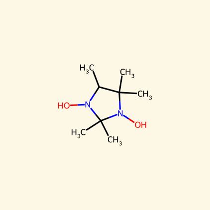 CC1N(O)C(C)(C)N(O)C1(C)C